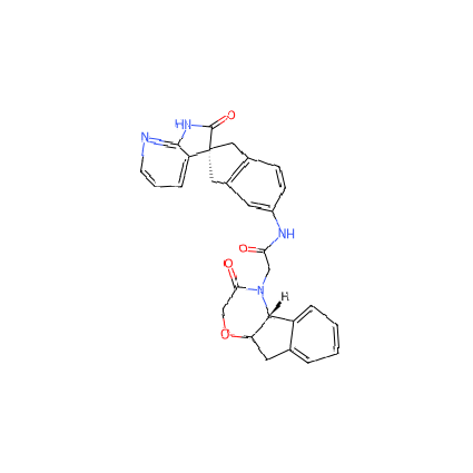 O=C(CN1C(=O)COC2Cc3ccccc3[C@H]21)Nc1ccc2c(c1)C[C@@]1(C2)C(=O)Nc2ncccc21